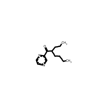 CCCCC(CCC)C(=O)c1cnccn1